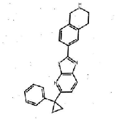 c1ccc(C2(c3ccc4nc(-c5ccc6c(c5)CCNC6)sc4n3)CC2)cc1